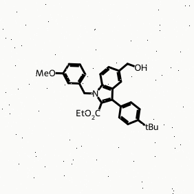 CCOC(=O)c1c(-c2ccc(C(C)(C)C)cc2)c2cc(CO)ccc2n1Cc1cccc(OC)c1